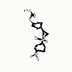 CC(=O)Oc1ccc(C2CN2S(=O)(=O)c2ccc([N+](=O)[O-])cc2)cc1